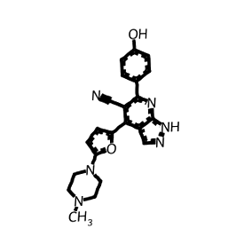 CN1CCN(c2ccc(-c3c(C#N)c(-c4ccc(O)cc4)nc4[nH]ncc34)o2)CC1